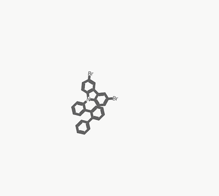 Brc1ccc2c(c1)c1cc(Br)ccc1n2-c1ccccc1-c1ccccc1-c1ccccc1